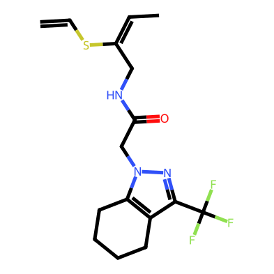 C=CS/C(=C/C)CNC(=O)Cn1nc(C(F)(F)F)c2c1CCCC2